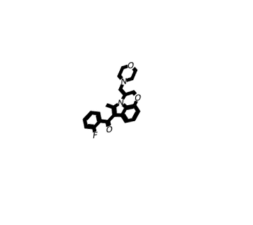 Cc1c(C(=O)c2ccccc2F)c2cccc3c2n1C(CN1CCOCC1)CO3